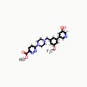 CC(C)(C)OC(=O)c1ccc(N2CCN(Cc3cc(OC(F)(F)F)cc(-c4cncc(O)c4)c3)CC2)nn1